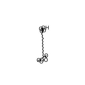 COC(=O)C/C(C(C)=O)=C(\CCCCCCCCCCCCCCCCOS(=O)(=O)O)C(C)=O